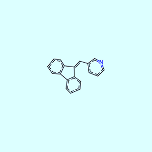 C(=C1c2ccccc2-c2ccccc21)c1cccnc1